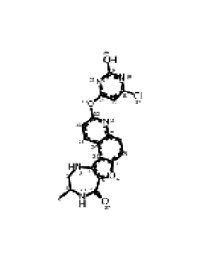 CC1CNc2c(oc3ccc4nc(Oc5cc(Cl)nc(O)n5)ccc4c23)C(=O)N1